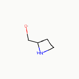 [O]CC1CCN1